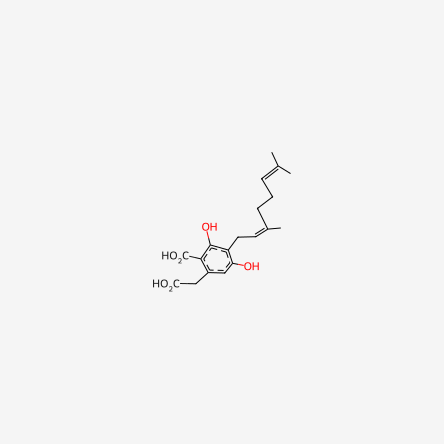 CC(C)=CCCC(C)=CCc1c(O)cc(CC(=O)O)c(C(=O)O)c1O